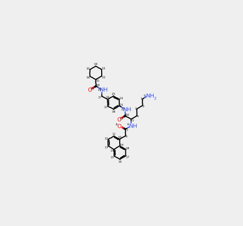 NCCCCC(NC(=O)Cc1cccc2ccccc12)C(=O)Nc1ccc(CNC(=O)C2CCCCC2)cc1